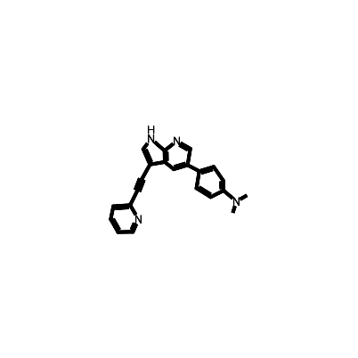 CN(C)c1ccc(-c2cnc3[nH]cc(C#Cc4ccccn4)c3c2)cc1